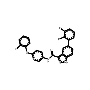 O=C(Nc1ccc(Oc2ccccc2F)nc1)c1n[nH]c2ccc(-c3cccc(F)c3F)cc12